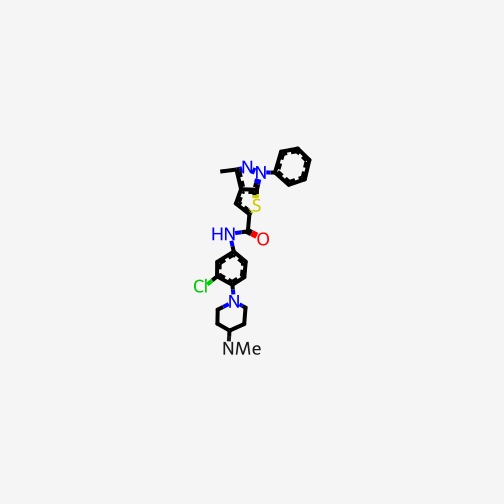 CNC1CCN(c2ccc(NC(=O)c3cc4c(C)nn(-c5ccccc5)c4s3)cc2Cl)CC1